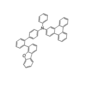 c1ccc(N(c2ccc(-c3ccccc3-c3cccc4c3oc3ccccc34)cc2)c2ccc3c4ccccc4c4ccccc4c3c2)cc1